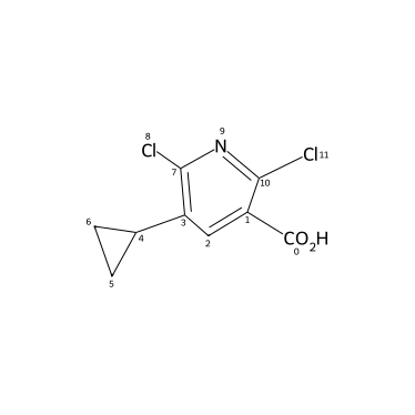 O=C(O)c1cc(C2CC2)c(Cl)nc1Cl